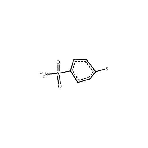 NS(=O)(=O)c1ccc([S])cc1